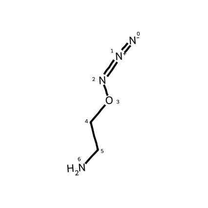 [N-]=[N+]=NOCCN